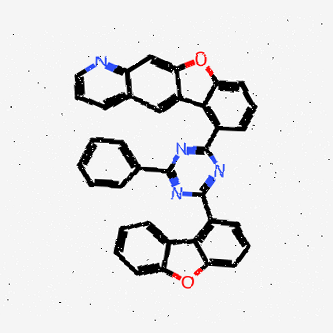 c1ccc(-c2nc(-c3cccc4oc5ccccc5c34)nc(-c3cccc4oc5cc6ncccc6cc5c34)n2)cc1